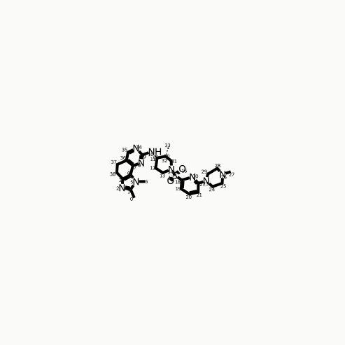 Cc1nc2c(n1C)-c1nc(N[C@H]3CCN(S(=O)(=O)c4cccc(N5CCN(C)CC5)n4)C[C@H]3C)ncc1CC2